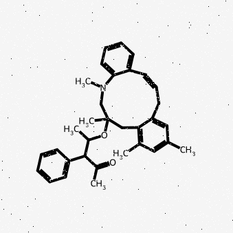 CC(=O)C(c1ccccc1)C(C)OC1(C)Cc2c(C)cc(C)cc2C/C=C\c2ccccc2N(C)C1